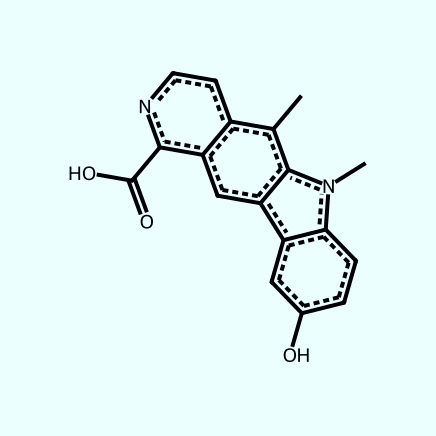 Cc1c2ccnc(C(=O)O)c2cc2c3cc(O)ccc3n(C)c12